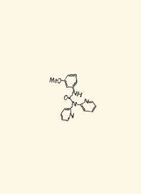 COc1cccc(NC(=O)N(c2ccccn2)c2ccccn2)c1